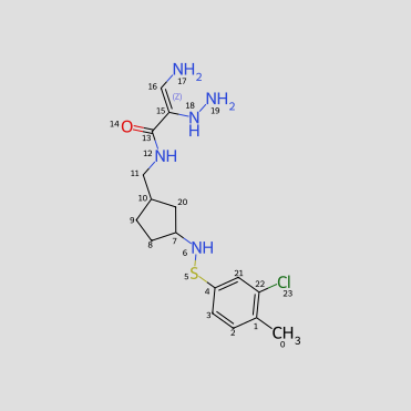 Cc1ccc(SNC2CCC(CNC(=O)/C(=C/N)NN)C2)cc1Cl